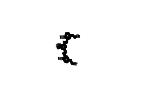 CC(=O)[O-].CC(=O)[O-].CC(C)CCc1ccc(O)c(C=NC2CCC(N=Cc3cc(CCC(C)C)ccc3O)C2)c1.[Co+2]